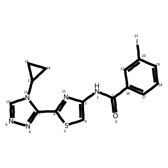 O=C(Nc1csc(-c2nncn2C2CC2)n1)c1cccc(I)c1